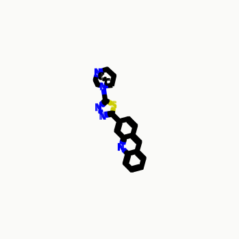 c1ccc2nc3cc(-c4nnc(N5CCN6CCC5CC6)s4)ccc3cc2c1